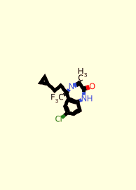 CC1=NC(CCC2CC2)(C(F)(F)F)c2cc(Cl)ccc2NC1=O